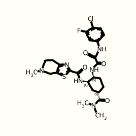 CN1CCc2nc(C(=O)N[C@@H]3C[C@@H](C(=O)N(C)C)CC[C@@H]3NC(=O)C(=O)Nc3ccc(Cl)c(F)c3)sc2C1